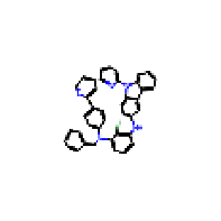 Clc1c(Nc2ccc3c(c2)c2ccccc2n3-c2ccccn2)cccc1N(Cc1ccccc1)c1ccc(-c2ccccn2)cc1